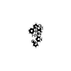 O=C1CCCN1c1cncc(Nc2ncc(Cl)c(N3C(=O)CC[C@H]3c3ccccc3)n2)c1